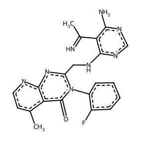 CC(=N)c1c(N)ncnc1NCc1nc2nccc(C)c2c(=O)n1-c1ccccc1F